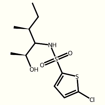 CC[C@H](C)C(NS(=O)(=O)c1ccc(Cl)s1)[C@H](C)O